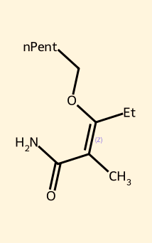 CCCCCCO/C(CC)=C(/C)C(N)=O